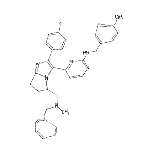 CN(Cc1ccccc1)CC1CCc2nc(-c3ccc(F)cc3)c(-c3ccnc(NCc4ccc(O)cc4)n3)n21